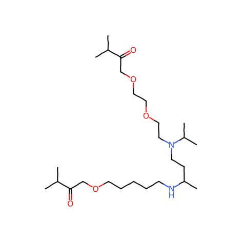 CC(CCN(CCOCCOCC(=O)C(C)C)C(C)C)NCCCCCOCC(=O)C(C)C